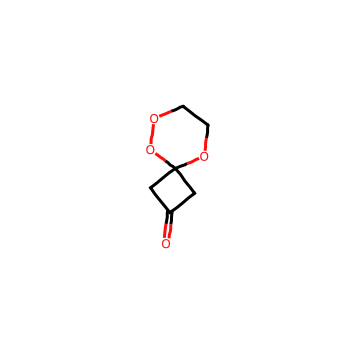 O=C1CC2(C1)OCCOO2